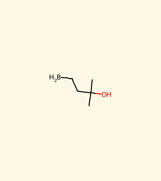 BCCC(C)(C)O